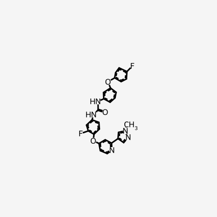 Cn1cc(-c2cc(Oc3ccc(NC(=O)Nc4cccc(Oc5ccc(F)cc5)c4)cc3F)ccn2)cn1